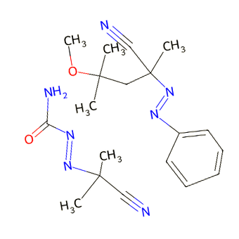 CC(C)(C#N)N=NC(N)=O.COC(C)(C)CC(C)(C#N)N=Nc1ccccc1